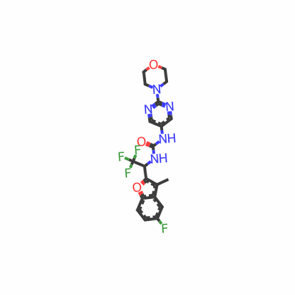 Cc1c(C(NC(=O)Nc2cnc(N3CCOCC3)nc2)C(F)(F)F)oc2ccc(F)cc12